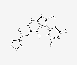 Cc1sc2ncn(CC(=O)N3CCCC3)c(=O)c2c1-c1cc(Br)cc(Br)c1